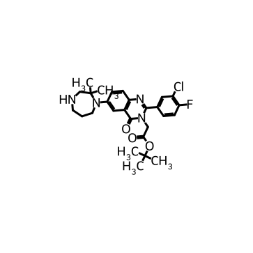 CC(C)(C)OC(=O)Cn1c(-c2ccc(F)c(Cl)c2)nc2ccc(N3CCCNCC3(C)C)cc2c1=O